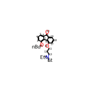 CCCCOc1cccc2c1-c1c(OCCCN(CC)CC)cccc1C2=O